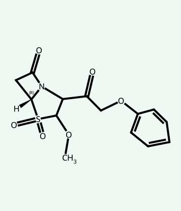 COC1C(C(=O)COc2ccccc2)N2C(=O)C[C@H]2S1(=O)=O